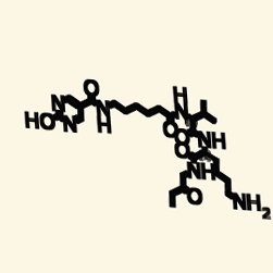 CCC(=O)CNC(=O)[C@H](CCCCN)NC(=O)[C@@H](NC(=O)CCCCCNC(=O)c1cnc(O)nc1)C(C)C